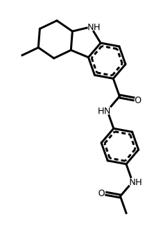 CC(=O)Nc1ccc(NC(=O)c2ccc3c(c2)C2CC(C)CCC2N3)cc1